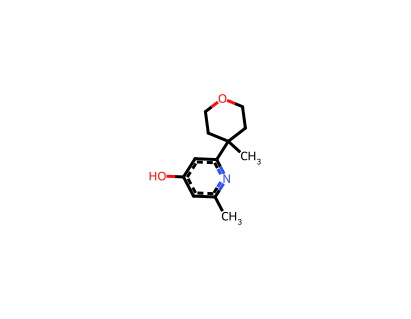 Cc1cc(O)cc(C2(C)CCOCC2)n1